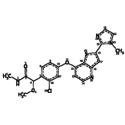 CNC(=O)C(OC)c1ccc(Oc2ccnc3cc(-c4nccn4C)sc23)cc1Cl